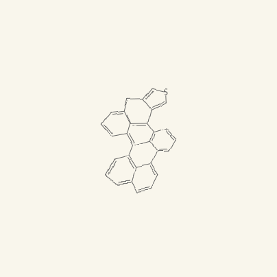 c1cc2cccc3c2c(c1)c1cccc2c4c5c(cccc5c3c21)Cc1cscc1-4